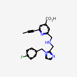 CC#Cc1cc(C(=O)O)cc(CNCc2nccn2Cc2ccc(F)cc2)n1